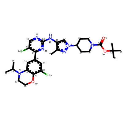 Cc1nn(C2CCN(C(=O)OC(C)(C)C)CC2)cc1Nc1ncc(F)c(-c2cc(F)c3c(c2)N(C(C)C)CCO3)n1